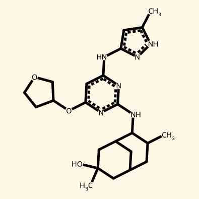 Cc1cc(Nc2cc(OC3CCOC3)nc(NC3C(C)CC4CC3CC(C)(O)C4)n2)n[nH]1